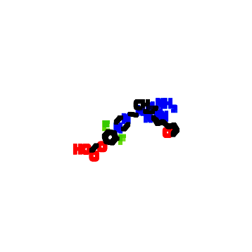 CN(CCN1CCN(c2c(F)cc(OCC(=O)O)cc2F)CC1)c1nc(N)n2nc(-c3ccco3)cc2n1